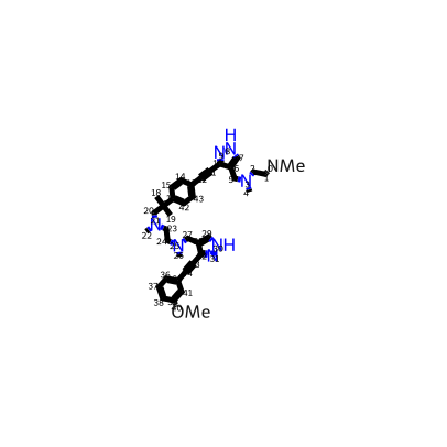 CNCCN(C)Cc1c[nH]nc1C#Cc1ccc(C(C)(C)CN(C)CCN(C)Cc2c[nH]nc2C#Cc2cccc(OC)c2)cc1